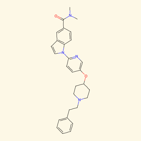 CN(C)C(=O)c1ccc2c(ccn2-c2ccc(OC3CCN(CCc4ccccc4)CC3)cn2)c1